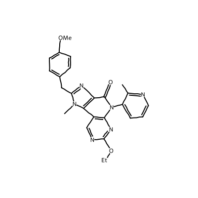 CCOc1ncc2c3c(nc(Cc4ccc(OC)cc4)n3C)c(=O)n(-c3cccnc3C)c2n1